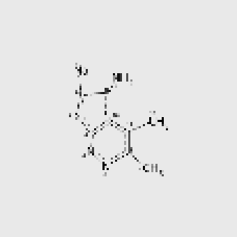 Cc1nnc2s[c]([Na])c(N)c2c1C